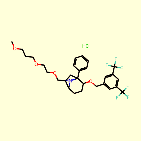 COCCCOCCOCC1CC2(c3ccccc3)NC1CCC2OCc1cc(C(F)(F)F)cc(C(F)(F)F)c1.Cl